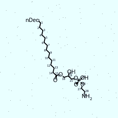 CCCCCCCCCCCCCCCCCCCCCCCCC(=O)OCC(O)COP(=O)(O)OCCN